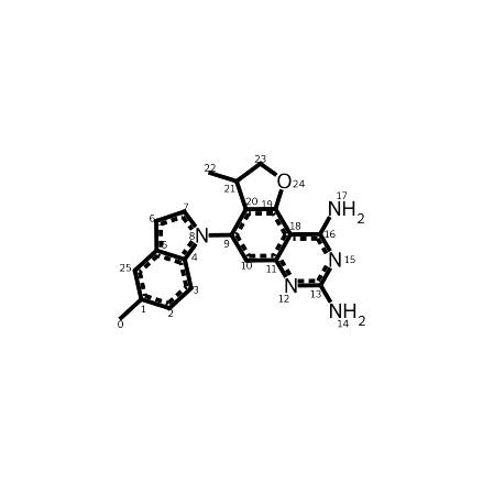 Cc1ccc2c(ccn2-c2cc3nc(N)nc(N)c3c3c2C(C)CO3)c1